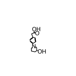 O=C(O)Cc1ccc(N2CCCC(O)C2)cc1